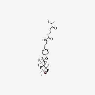 CCC(C)C(=O)OCCC(=O)NCCc1ccc(OS(=O)(=O)C(F)(F)C(F)(F)C(F)(F)S(=O)(=O)CC)cc1